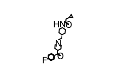 O=C(CC1CC1)N[C@H]1CC[C@H](CCN2CCC(C(=O)c3ccc(F)cc3)CC2)CC1